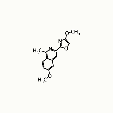 COc1ccc2c(C)nc(-c3nc(OC)co3)cc2c1